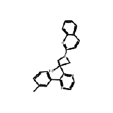 Cc1cccc(-c2nccnc2C2(O)CN(c3ccc4ccccc4n3)C2)c1